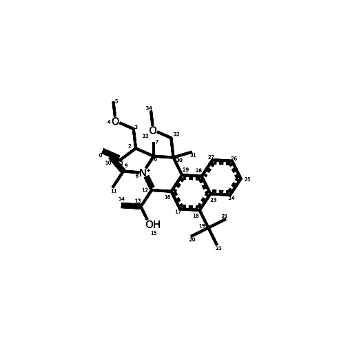 C=CC(COC)C1(C)[N+](C(=C)C)=C(C(=C)O)c2cc(C(C)(C)C)c3ccccc3c2C1(C)COC